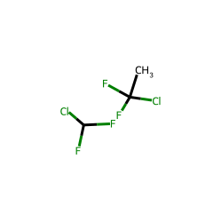 CC(F)(F)Cl.FC(F)Cl